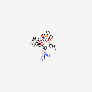 C=CCOC(=O)C(N1C(=O)[C@H]([C@@H](C)O[Si](C)(C)C)[C@H]1CC(=O)c1ccc(CC(=O)Nc2ccncc2)cc1)=P(c1ccccc1)(c1ccccc1)c1ccccc1